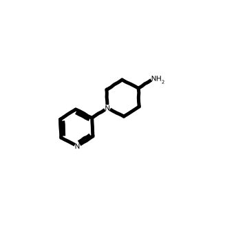 NC1CCN(c2cccnc2)CC1